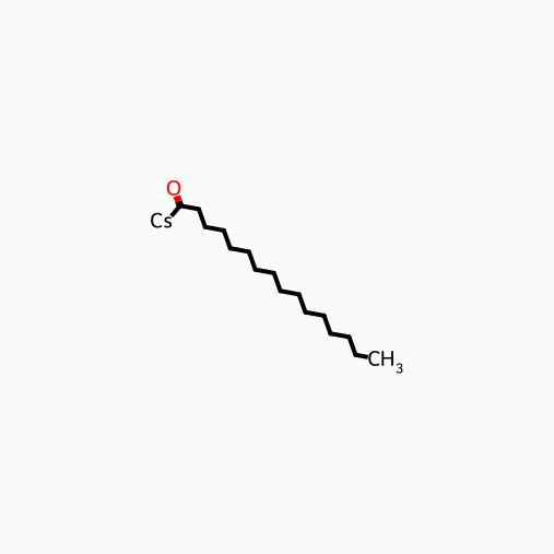 CCCCCCCCCCCCCCC[C](=O)[Cs]